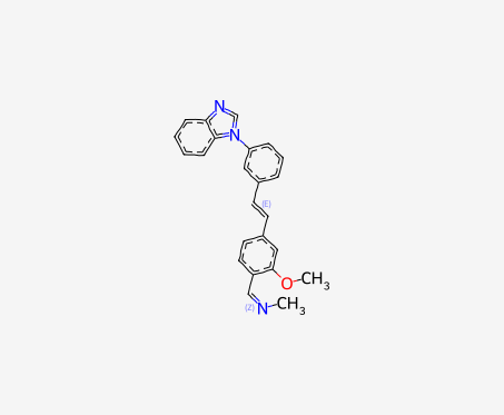 C/N=C\c1ccc(/C=C/c2cccc(-n3cnc4ccccc43)c2)cc1OC